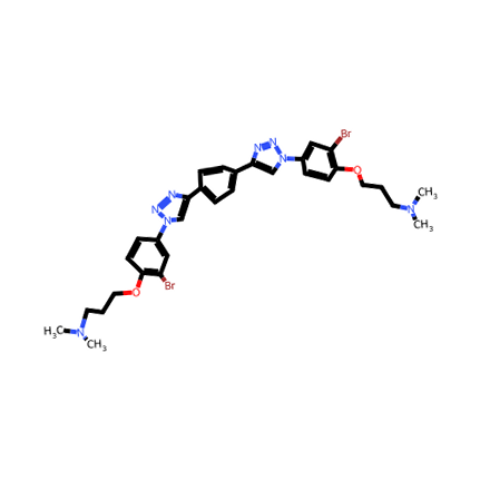 CN(C)CCCOc1ccc(-n2cc(-c3ccc(-c4cn(-c5ccc(OCCCN(C)C)c(Br)c5)nn4)cc3)nn2)cc1Br